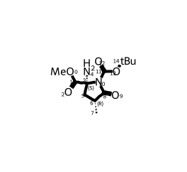 COC(=O)[C@]1(N)C[C@@H](C)C(=O)N1C(=O)OC(C)(C)C